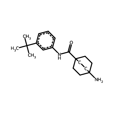 CC(C)(C)c1cccc(NC(=O)C23CCC(N)(CC2)CC3)c1